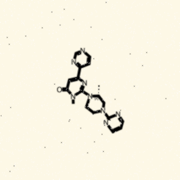 C[C@@H]1CN(c2ncccn2)CCN1c1nc(-c2ccncn2)cc(=O)n1C